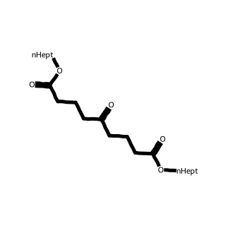 CCCCCCCOC(=O)CCCC(=O)CCCC(=O)OCCCCCCC